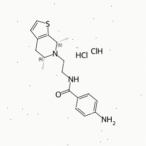 C[C@@H]1Cc2ccsc2[C@H](C)N1CCNC(=O)c1ccc(N)cc1.Cl.Cl